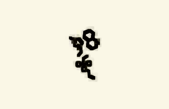 C=CCOS(=O)(=O)CC.CCN1C=CN(C)C1.c1ccc2ncccc2c1